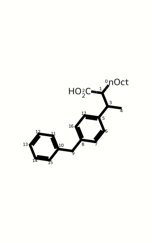 CCCCCCCCC(C(=O)O)C(C)c1ccc(Cc2ccccc2)cc1